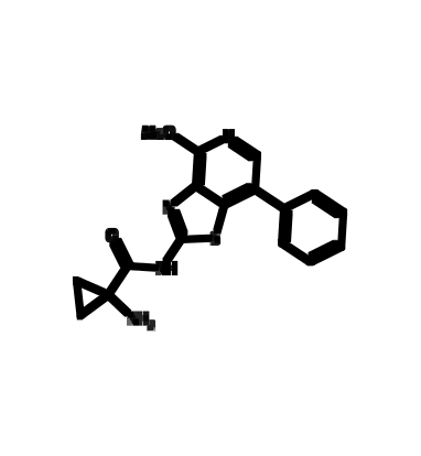 COc1ncc(-c2ccccc2)c2sc(NC(=O)C3(N)CC3)nc12